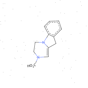 O=C(O)N1C=C2Cc3ccccc3N2CC1